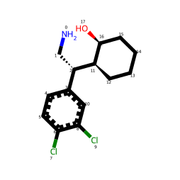 NC[C@@H](c1ccc(Cl)c(Cl)c1)[C@@H]1CCCC[C@@H]1O